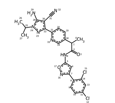 CC(C(=O)Nc1cc(-c2ccc(Cl)cc2Cl)no1)c1ccc(-c2nn(C(C)C)c(N)c2C#N)nc1